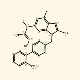 CCCc1nc2c(C)cc(N(C)C(N)=NC#N)cc2n1Cc1ccc(-c2ccccc2C(=O)O)cc1